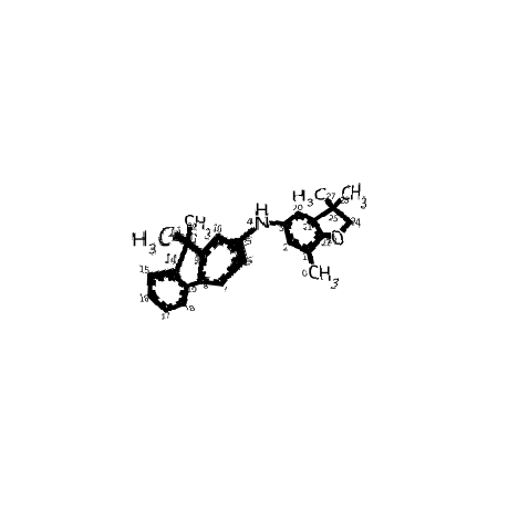 Cc1cc(Nc2ccc3c(c2)C(C)(C)c2ccccc2-3)cc2c1OCC2(C)C